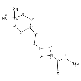 CC(C)(C)OC(=O)N1CC(CCN2CCC(C#N)(C#N)CC2)C1